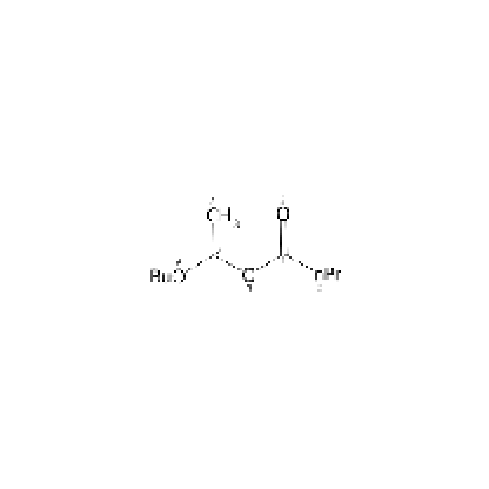 CCCC(=O)OC(C)OCC(C)C